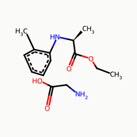 CCOC(=O)[C@H](C)Nc1ccccc1C.NCC(=O)O